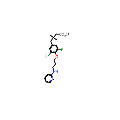 CCOC(=O)CC(C)(C)Cc1cc(F)c(OCCCNc2ccccn2)c(Br)c1